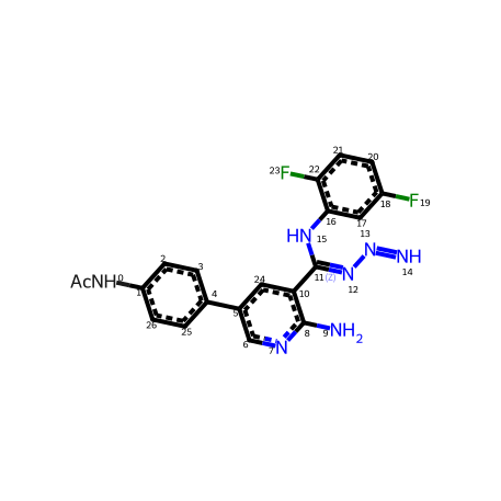 CC(=O)Nc1ccc(-c2cnc(N)c(/C(=N/N=N)Nc3cc(F)ccc3F)c2)cc1